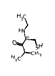 CCN[C@@H](CS)C(=O)C(C)C